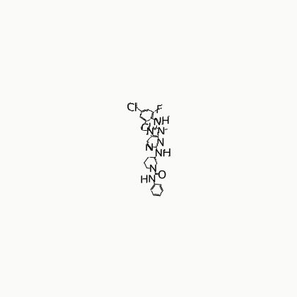 Cn1c(Nc2c(F)cc(Cl)cc2Cl)nc2cnc(N[C@@H]3CCCN(C(=O)Nc4ccccc4)C3)nc21